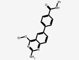 CCOc1nc(N)nc2ccc(-c3ccc(C(=O)NC(C)C)cc3)cc12